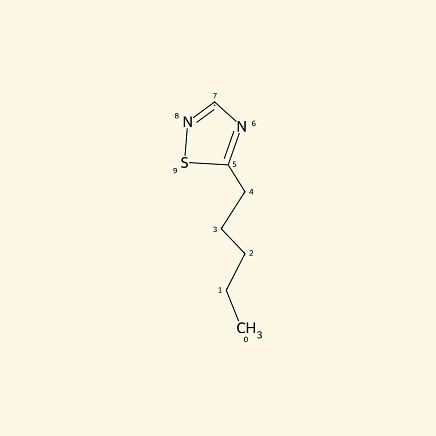 CCCCCc1n[c]ns1